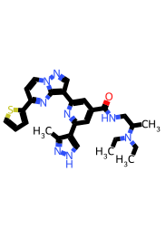 CCN(CC)C(C)CNC(=O)c1cc(-c2c[nH]nc2C)nc(-c2cnn3ccc(-c4cccs4)nc23)c1